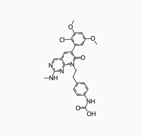 CNc1ncc2cc(-c3cc(OC)cc(OC)c3Cl)c(=O)n(CCc3ccc(NC(=O)O)cc3)c2n1